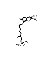 COC(C)(C)OCC(=O)CCC/C=C\CC1=CC(OC(C)(C)OC)CC1=O